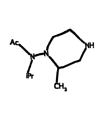 CC(=O)N(C(C)C)N1CCNCC1C